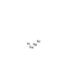 [Ag].[Ga].[In].[Sn]